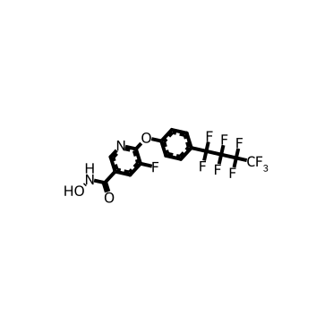 O=C(NO)c1cnc(Oc2ccc(C(F)(F)C(F)(F)C(F)(F)C(F)(F)F)cc2)c(F)c1